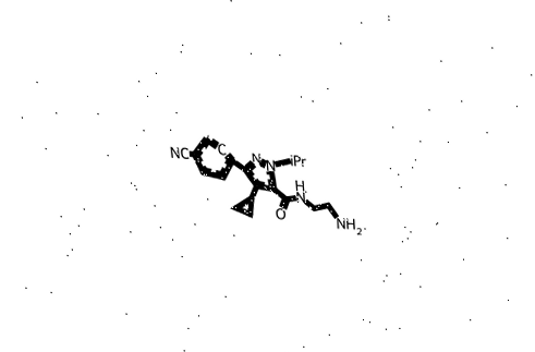 CC(C)n1nc(-c2ccc(C#N)cc2)c(C2CC2)c1C(=O)NCCN